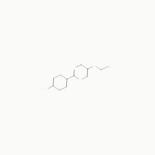 CCC(C)COC1COC(C2CCC(C#N)CC2)OC1